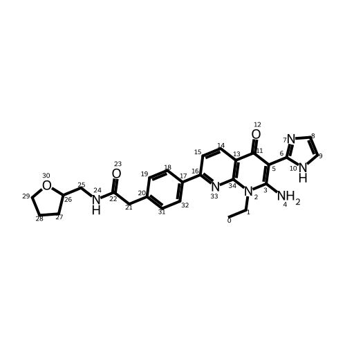 CCn1c(N)c(-c2ncc[nH]2)c(=O)c2ccc(-c3ccc(CC(=O)NCC4CCCO4)cc3)nc21